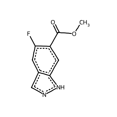 COC(=O)c1cc2[nH]ncc2cc1F